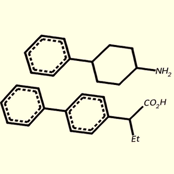 CCC(C(=O)O)c1ccc(-c2ccccc2)cc1.NC1CCC(c2ccccc2)CC1